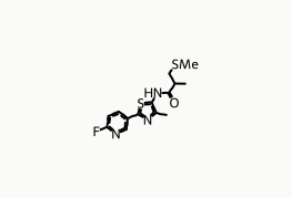 CSCC(C)C(=O)Nc1sc(-c2ccc(F)nc2)nc1C